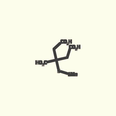 CSSC(CC(=O)O)(CC(=O)O)C(=O)O